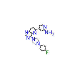 Nc1cc(-c2ccc3ncnc(N4CCN(c5ccc(F)cc5)CC4)c3n2)ccn1